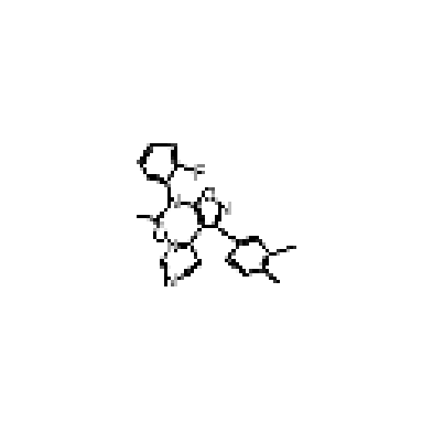 CC(=O)N(c1ccccc1F)c1onc(-c2ccc(C)c(C)c2)c1-c1ccncn1